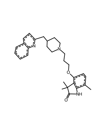 Cc1ccc(OCCCN2CCC(Cc3ccc4ccccc4n3)CC2)c2c1NC(=O)C2(C)C